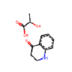 CC(O)C(=O)O.O=C1CCNc2ccccc21